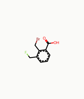 O=C(O)c1cccc(CF)c1CBr